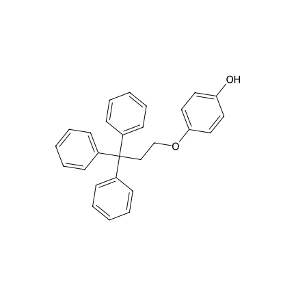 Oc1ccc(OCCC(c2ccccc2)(c2ccccc2)c2ccccc2)cc1